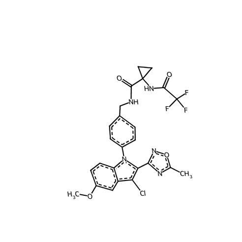 COc1ccc2c(c1)c(Cl)c(-c1noc(C)n1)n2-c1ccc(CNC(=O)C2(NC(=O)C(F)(F)F)CC2)cc1